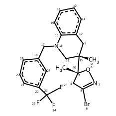 C[C@]1([C@@]2(C)CC(Br)=NO2)Cc2ccccc2N(Cc2cccc(C(F)(F)F)c2)C1